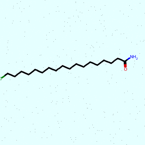 NC(=O)CCCCCCCCCCCCCCCCCCl